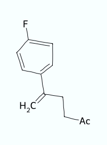 C=C(CCC(C)=O)c1ccc(F)cc1